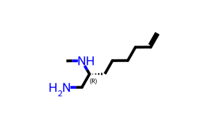 C=CCCCC[C@H](CN)NC